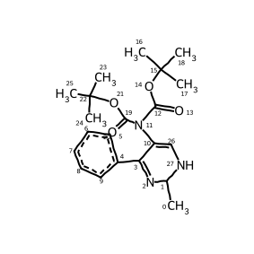 CC1N=C(c2ccccc2)C(N(C(=O)OC(C)(C)C)C(=O)OC(C)(C)C)=CN1